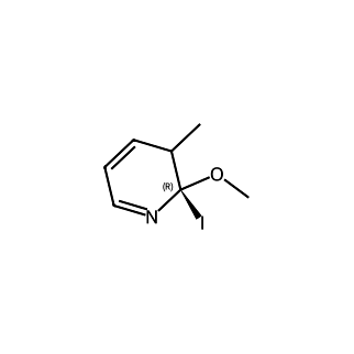 CO[C@]1(I)N=CC=CC1C